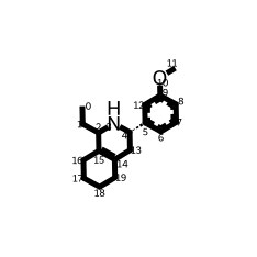 CCC1N[C@H](c2cccc(OC)c2)CC2=C1CCCC2